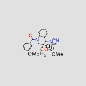 COC(=O)c1cncn1C1c2ccccc2N(C(=O)c2cccc(OC)c2)CC1(C)C